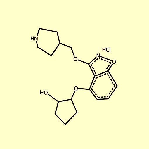 Cl.OC1CCCC1Oc1cccc2onc(OCC3CCNCC3)c12